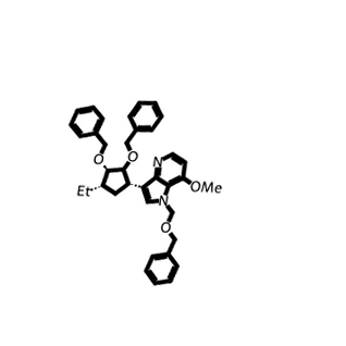 CC[C@H]1C[C@@H](c2cn(COCc3ccccc3)c3c(OC)ccnc23)C(OCc2ccccc2)[C@H]1OCc1ccccc1